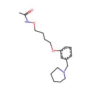 CC(=O)NOCCCCOc1cccc(CN2CCCCC2)c1